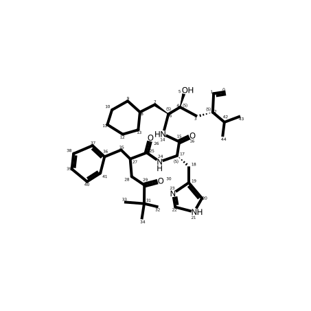 C=C[C@@H](C[C@H](O)[C@H](CC1CCCCC1)NC(=O)[C@H](Cc1c[nH]cn1)NC(=O)C(CC(=O)C(C)(C)C)Cc1ccccc1)C(C)C